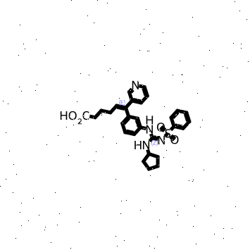 O=C(O)CCC/C=C(/c1cccnc1)c1cccc(N/C(=N\S(=O)(=O)c2ccccc2)NC2CCCC2)c1